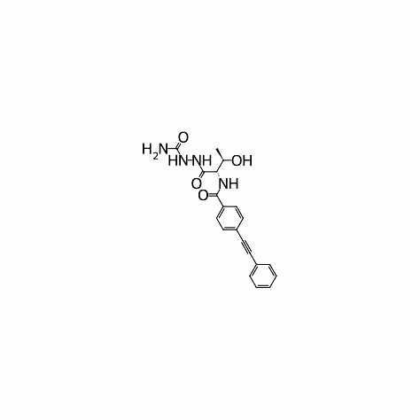 C[C@@H](O)[C@H](NC(=O)c1ccc(C#Cc2ccccc2)cc1)C(=O)NNC(N)=O